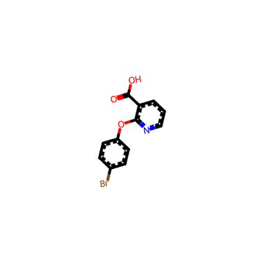 O=C(O)c1cccnc1Oc1ccc(Br)cc1